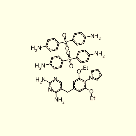 CCOc1cc(Cc2cnc(N)nc2N)cc(OCC)c1-n1cccc1.Nc1ccc(S(=O)(=O)c2ccc(N)cc2)cc1.Nc1ccc(S(=O)(=O)c2ccc(N)cc2)cc1